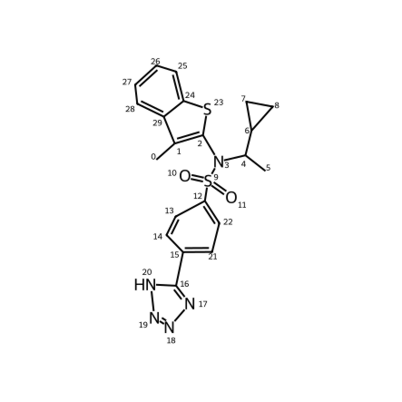 Cc1c(N(C(C)C2CC2)S(=O)(=O)c2ccc(-c3nnn[nH]3)cc2)sc2ccccc12